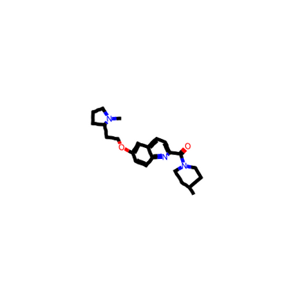 CC1CCN(C(=O)c2ccc3cc(OCCC4CCCN4C)ccc3n2)CC1